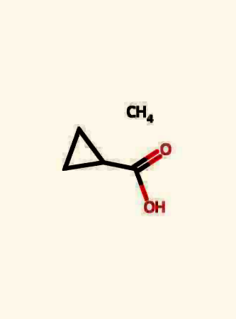 C.O=C(O)C1CC1